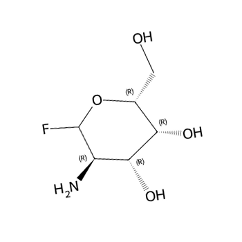 N[C@H]1C(F)O[C@H](CO)[C@H](O)[C@@H]1O